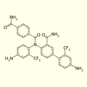 NC(=O)c1ccc(C(=O)N(c2ccc(-c3ccc(N)cc3C(F)(F)F)cc2C(N)=O)c2ccc(N)cc2C(F)(F)F)cc1